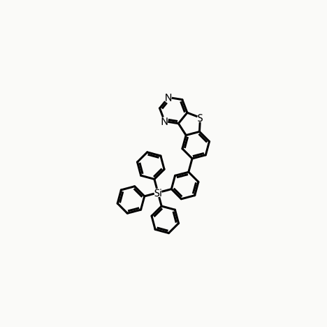 c1ccc([Si](c2ccccc2)(c2ccccc2)c2cccc(-c3ccc4sc5cncnc5c4c3)c2)cc1